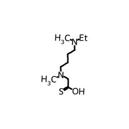 CCN(C)CCCCN(C)CC(O)=S